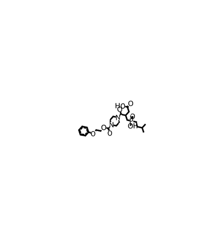 CC(C)CCP(=O)(O)CC(CC(=O)O)C(=O)N1CCN(C(=O)OCCOc2ccccc2)CC1